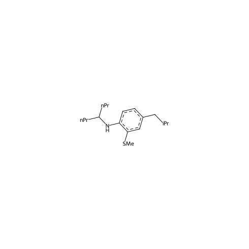 CCCC(CCC)Nc1ccc(CC(C)C)cc1SC